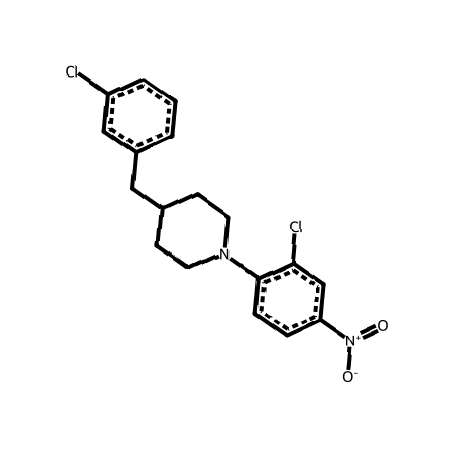 O=[N+]([O-])c1ccc(N2CCC(Cc3cccc(Cl)c3)CC2)c(Cl)c1